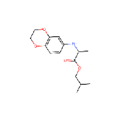 CC(C)COC(=O)C(C)Nc1ccc2c(c1)OCCO2